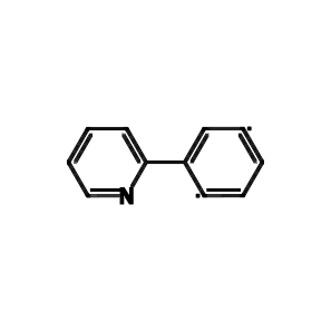 [c]1cc[c]c(-c2ccccn2)c1